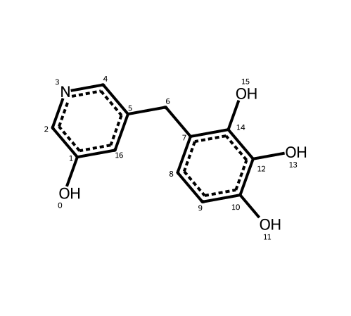 Oc1cncc(Cc2ccc(O)c(O)c2O)c1